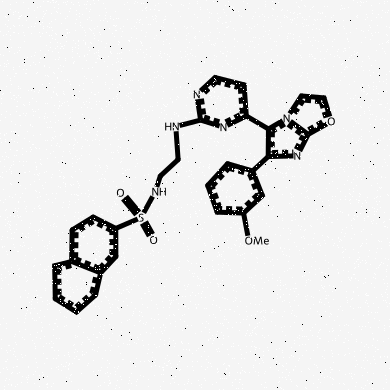 COc1cccc(-c2nc3occn3c2-c2ccnc(NCCNS(=O)(=O)c3ccc4ccccc4c3)n2)c1